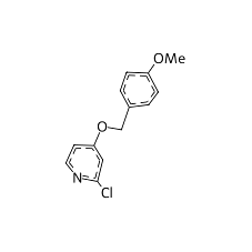 COc1ccc(COc2ccnc(Cl)c2)cc1